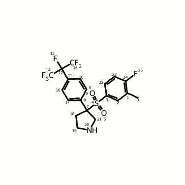 Cc1cc(S(=O)(=O)C2(c3ccc(C(F)(C(F)(F)F)C(F)(F)F)cc3)CCNC2)ccc1F